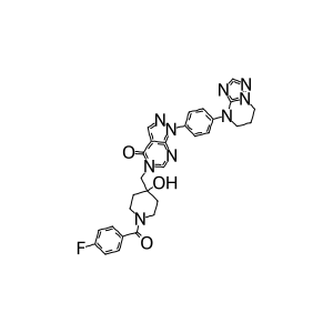 O=C(c1ccc(F)cc1)N1CCC(O)(Cn2cnc3c(cnn3-c3ccc(N4CCCn5ncnc54)cc3)c2=O)CC1